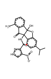 CC(C)c1ccc2c(c1)OC1(O)c3cccc(N)c3C(=O)C21NC(=O)c1n[nH]cc1[N+](=O)[O-]